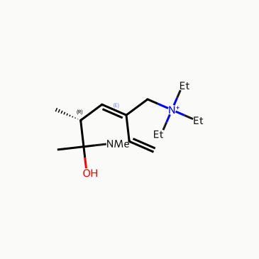 C=C/C(=C\[C@@H](C)C(C)(O)NC)C[N+](CC)(CC)CC